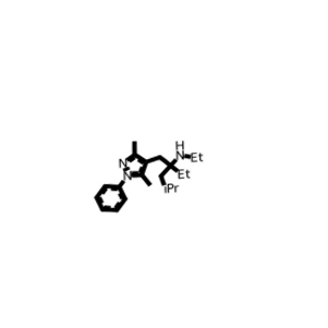 CCNC(CC)(Cc1c(C)nn(-c2ccccc2)c1C)CC(C)C